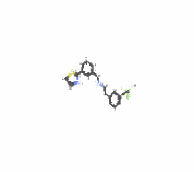 FC(F)(F)c1cccc(CCNCc2cccc(-c3nccs3)c2)c1